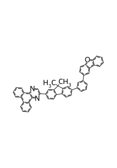 CC1(C)c2cc(-c3cccc(-c4ccc5oc6ccccc6c5c4)c3)ccc2-c2ccc(-c3cnc4c5ccccc5c5ccccc5c4n3)cc21